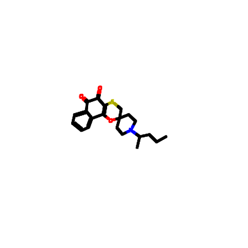 CCCC(C)N1CCC2(CC1)CSC1=C(O2)c2ccccc2C(=O)C1=O